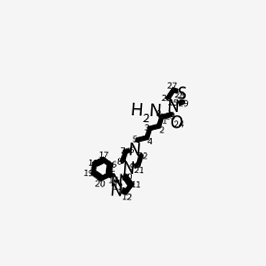 NC(CCCCN1CCN(c2ccnn2-c2ccccc2)CC1)C(=O)N1CCSC1